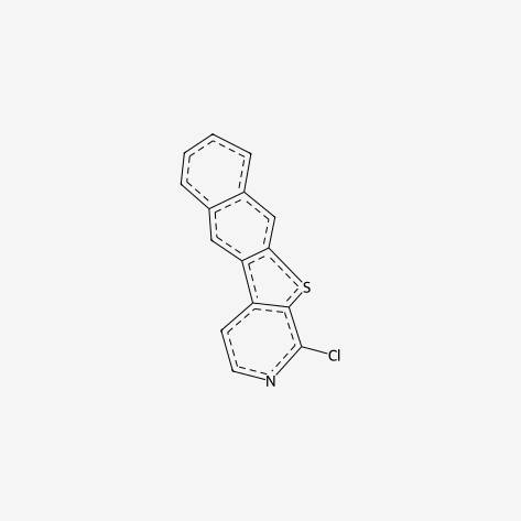 Clc1nccc2c1sc1cc3ccccc3cc12